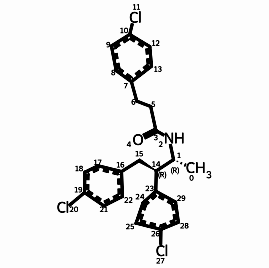 C[C@@H](NC(=O)CCc1ccc(Cl)cc1)[C@H](Cc1ccc(Cl)cc1)c1ccc(Cl)cc1